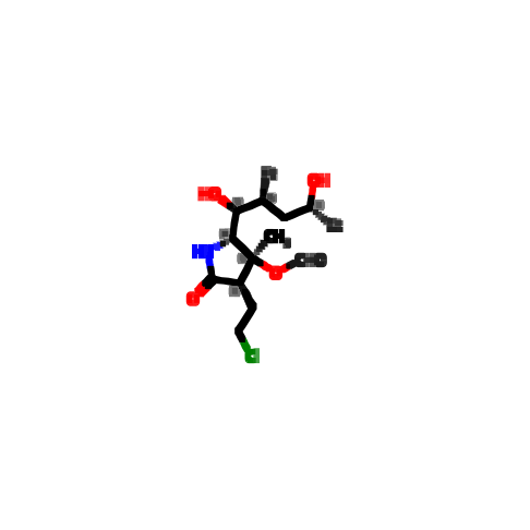 CC[C@@H](O)C[C@H](CC)[C@H](O)[C@H]1NC(=O)[C@H](CCCl)[C@]1(C)OC=O